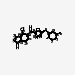 Cc1cccc(Cc2nnc(Nc3ccc4[nH]ncc4c3Cl)o2)c1